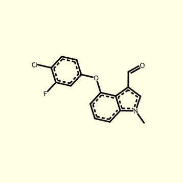 Cn1cc(C=O)c2c(Oc3ccc(Cl)c(F)c3)cccc21